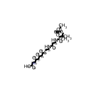 CCOP1(=O)OCC(C)(C)[C@H](C(=O)NCCC(=O)NCCSC(=O)CC(=O)CC(=O)/C=C/C(=O)O)O1